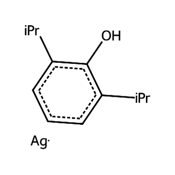 CC(C)c1cccc(C(C)C)c1O.[Ag]